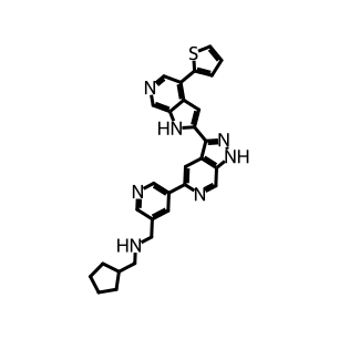 c1csc(-c2cncc3[nH]c(-c4n[nH]c5cnc(-c6cncc(CNCC7CCCC7)c6)cc45)cc23)c1